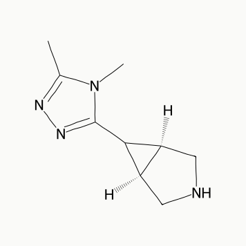 Cc1nnc(C2[C@H]3CNC[C@@H]23)n1C